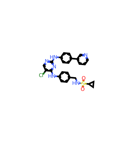 O=S(=O)(NCc1ccc(Nc2nc(Nc3ccc(-c4cccnc4)cc3)ncc2Cl)cc1)C1CC1